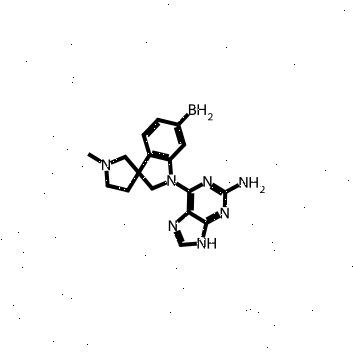 Bc1ccc2c(c1)N(c1nc(N)nc3[nH]cnc13)CC21CCN(C)C1